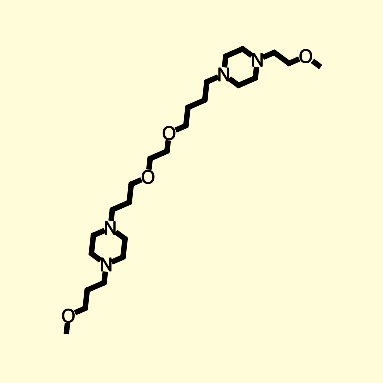 COCCCN1CCN(CCCOCCOCCCCN2CCN(CCOC)CC2)CC1